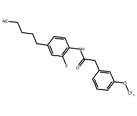 N#CCCCCc1ccc(NC(=O)Cc2cccc(OC(F)(F)F)c2)c(F)c1